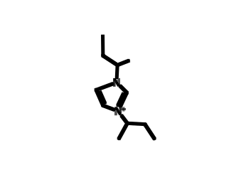 CCC(C)n1cc[n+](C(C)CC)c1